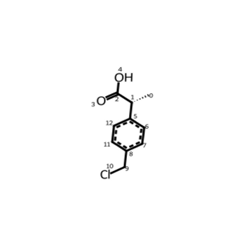 C[C@@H](C(=O)O)c1ccc(CCl)cc1